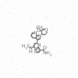 CNc1cc(-c2cn([C@H]3CCOC[C@@H]3OC)c3ncccc23)nc2c(C(N)=O)cnn12